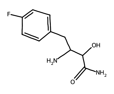 NC(=O)C(O)C(N)Cc1ccc(F)cc1